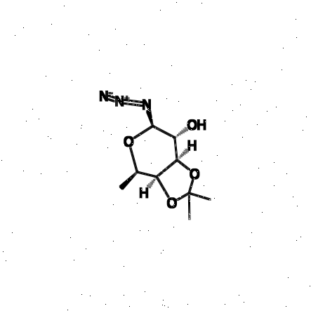 C[C@H]1O[C@@H](N=[N+]=[N-])[C@H](O)[C@H]2OC(C)(C)O[C@H]21